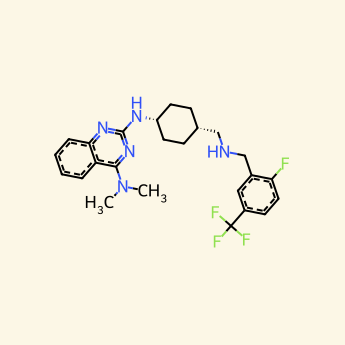 CN(C)c1nc(N[C@H]2CC[C@@H](CNCc3cc(C(F)(F)F)ccc3F)CC2)nc2ccccc12